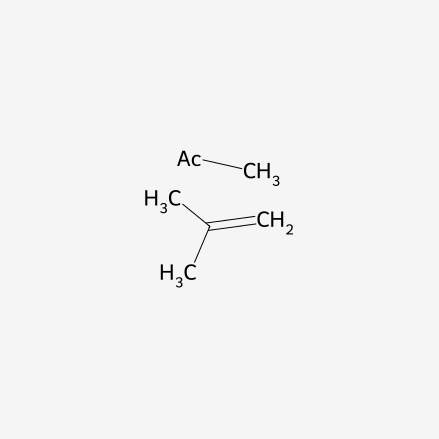 C=C(C)C.CC(C)=O